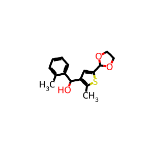 Cc1ccccc1C(O)c1cc(C2OCCO2)sc1C